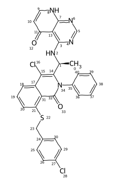 C[C@H](Nc1ncnc2[nH]ccc(=O)c12)c1c(Cl)c2cccc(SCc3ccc(Cl)cc3)c2c(=O)n1-c1ccccc1